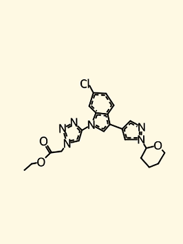 CCOC(=O)Cn1cc(-n2cc(-c3cnn(C4CCCCO4)c3)c3ccc(Cl)cc32)nn1